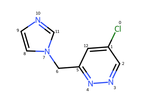 Clc1cnnc(Cn2ccnc2)c1